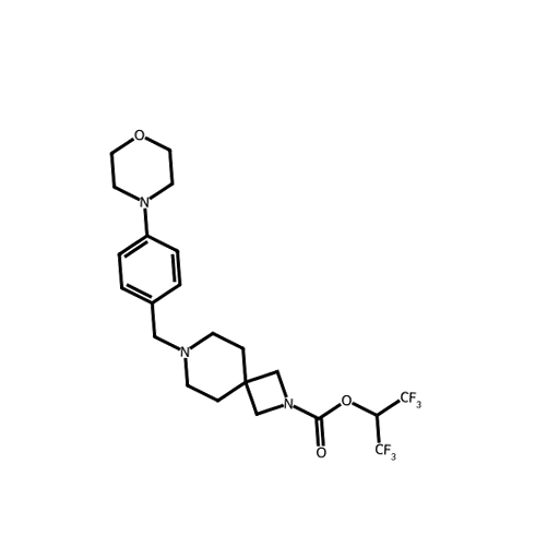 O=C(OC(C(F)(F)F)C(F)(F)F)N1CC2(CCN(Cc3ccc(N4CCOCC4)cc3)CC2)C1